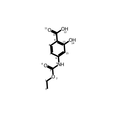 CCOC(=O)Nc1ccc(C(=O)O)c(O)c1